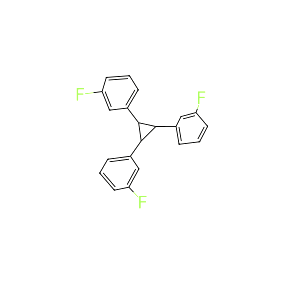 Fc1cccc(C2C(c3cccc(F)c3)C2c2cccc(F)c2)c1